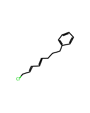 ClC/C=C/C=C/CCCc1ccccc1